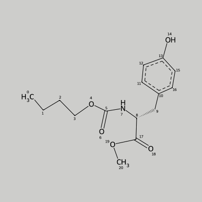 CCCCOC(=O)N[C@H](Cc1ccc(O)cc1)C(=O)OC